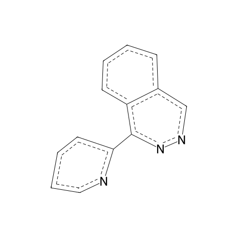 c1ccc(-c2nncc3ccccc23)nc1